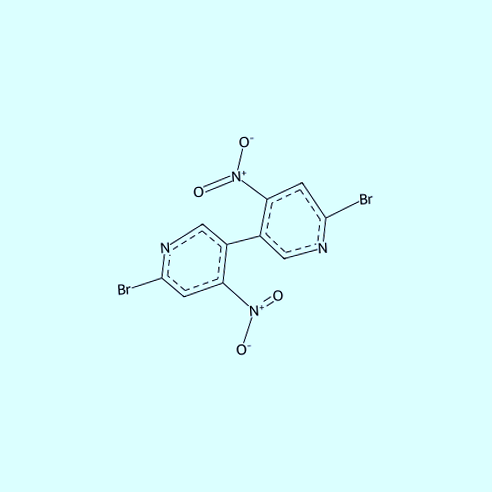 O=[N+]([O-])c1cc(Br)ncc1-c1cnc(Br)cc1[N+](=O)[O-]